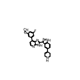 COc1cc(F)cc(-c2ccnc3[nH]c(-c4n[nH]c5ccc(C6=CCNCC6)cc45)nc23)c1